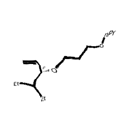 C=C[C@H](OCCCOCCC)C(CC)CC